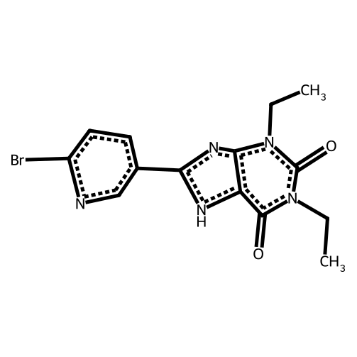 CCn1c(=O)c2[nH]c(-c3ccc(Br)nc3)nc2n(CC)c1=O